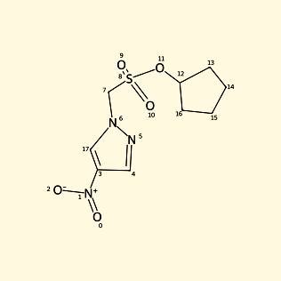 O=[N+]([O-])c1cnn(CS(=O)(=O)OC2CCCC2)c1